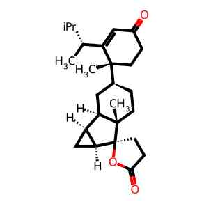 CC(C)[C@@H](C)C1=CC(=O)CC[C@]1(C)[C@H]1CC[C@@]2(C)[C@H](C1)[C@@H]1C[C@@H]1[C@@]21CCC(=O)O1